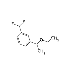 CCOC(C)c1cccc(C(F)F)c1